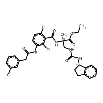 CCOC(=O)[C@@](C)(CNC(=O)N[C@@H]1CCc2ccccc21)NC(=O)c1c(Cl)ccc(NC(=O)Cc2cccc(Cl)c2)c1Cl